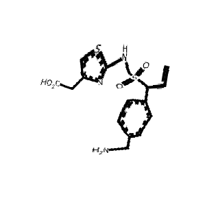 C=CC(c1ccc(CN)cc1)S(=O)(=O)Nc1nc(CC(=O)O)cs1